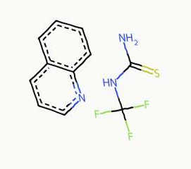 NC(=S)NC(F)(F)F.c1ccc2ncccc2c1